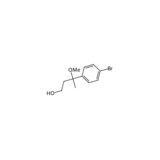 COC(C)(CCO)c1ccc(Br)cc1